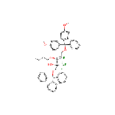 CCCCO[C@@H]([C@@H](F)COC(c1ccccc1)(c1ccc(OC)cc1)c1ccc(OC)cc1)C(O)(COC(c1ccccc1)(c1ccccc1)c1ccccc1)C(F)(F)F